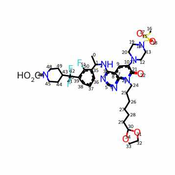 CC(Nc1ncnc2c1cc(N1CCN(S(C)(=O)=O)CC1)c(=O)n2CCCCCCC1OCCO1)c1cccc(C(F)(F)C2CCN(C(=O)O)CC2)c1F